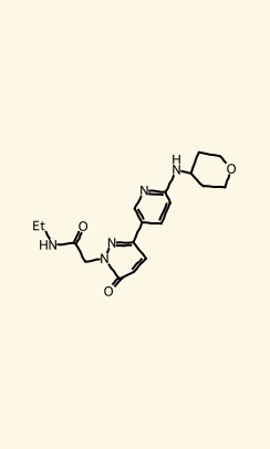 CCNC(=O)Cn1nc(-c2ccc(NC3CCOCC3)nc2)ccc1=O